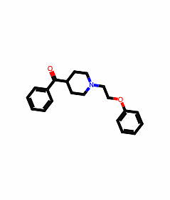 O=C(c1ccccc1)C1CCN(CCOc2ccccc2)CC1